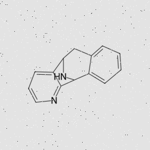 c1ccc2c(c1)CC1NC2c2ncccc21